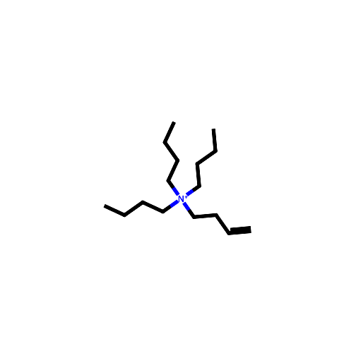 C=CCC[N+](CCCC)(CCCC)CCCC